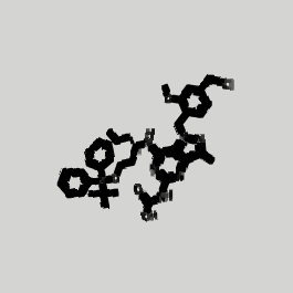 CCC[C@@H](CCO[Si](c1ccccc1)(c1ccccc1)C(C)(C)C)Nc1nc(NC(=O)O)nc2c(C)nn(Cc3ccc(CCl)cc3OC)c12